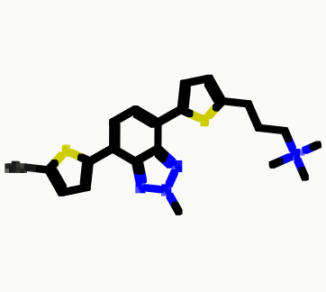 CCCCc1ccc(-c2ccc(-c3ccc(CCC[N+](C)(C)C)s3)c3nn(C)nc23)s1